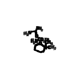 CCOC(N)=O.C[Si]1(C)CCCCO1.NC(N)=O